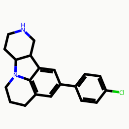 Clc1ccc(-c2cc3c4c(c2)C2CNCCC2N4CCC3)cc1